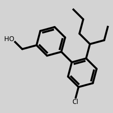 CCCC(CC)c1ccc(Cl)cc1-c1cccc(CO)c1